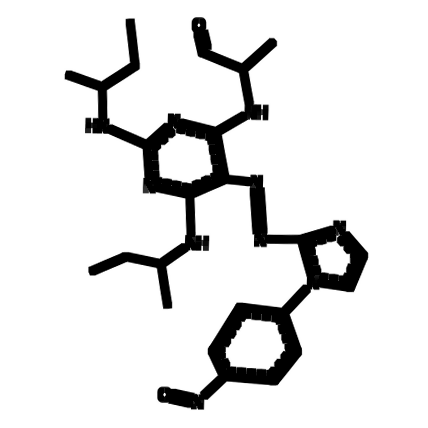 CCC(C)Nc1nc(NC(C)C=O)c(N=Nc2nccn2-c2ccc(N=O)cc2)c(NC(C)CC)n1